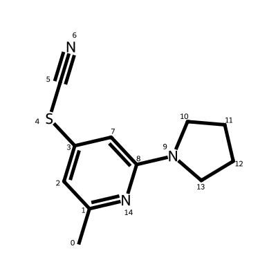 Cc1cc(SC#N)cc(N2CCCC2)n1